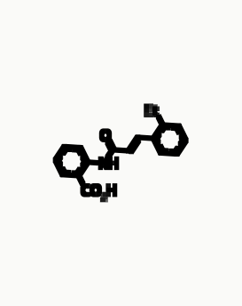 CCc1ccccc1C=CC(=O)Nc1ccccc1C(=O)O